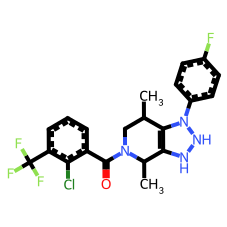 CC1CN(C(=O)c2cccc(C(F)(F)F)c2Cl)C(C)C2=C1N(c1ccc(F)cc1)NN2